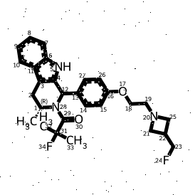 C[C@@H]1Cc2c([nH]c3ccccc23)C(c2ccc(OCCN3CC(CF)C3)cc2)N1C(=O)C(C)(C)F